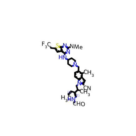 C/C=C\C(=C/NC=O)C(C)Cn1c(C#N)cc2c(C)c(CN3CCC(Nc4nc(NC)nc5sc(CC(F)(F)F)cc45)CC3)ccc21